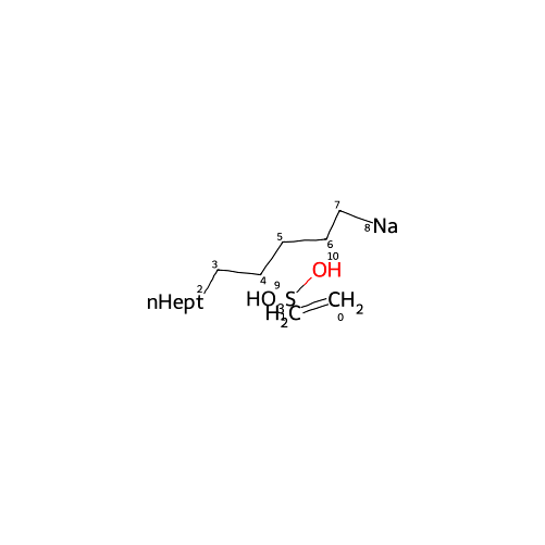 C=C.CCCCCCCCCCC[CH2][Na].O=S(=O)(O)O